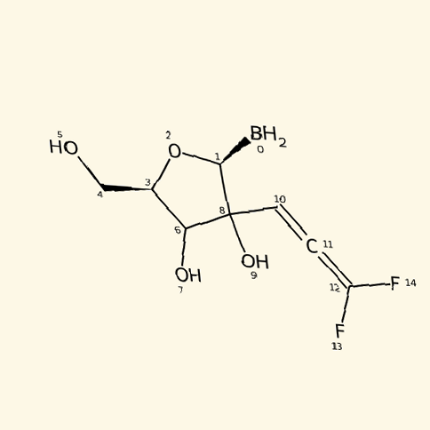 B[C@@H]1O[C@H](CO)C(O)C1(O)C=C=C(F)F